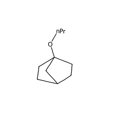 CCCOC12CCC(CC1)C2